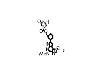 CNc1nc2[nH]c(-c3cccc(COC(=O)N4CCNC(=O)C4)c3)cc2c2c1ncn2C